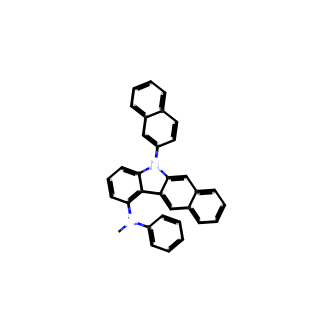 CN(c1ccccc1)c1cccc2c1c1cc3ccccc3cc1n2-c1ccc2ccccc2c1